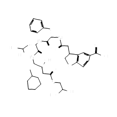 CC(C)CNC(=O)C[C@H](O)[C@H](CC1CCCCC1)NC(=O)[C@H](CC(C)C)NC(=O)[C@H](Cc1ccccc1)NC(=O)CC1COc2ccc(C(=O)O)cc21